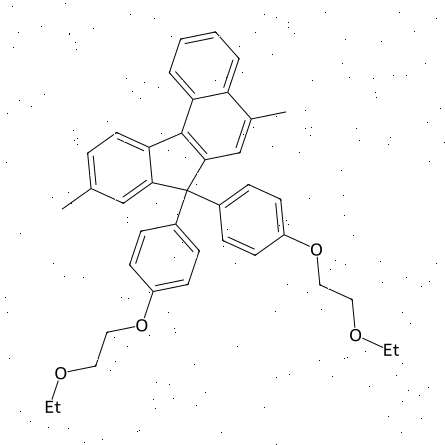 CCOCCOc1ccc(C2(c3ccc(OCCOCC)cc3)c3cc(C)ccc3-c3c2cc(C)c2ccccc32)cc1